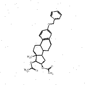 CC(=O)OC1[C@H](OC(C)=O)CC2C3CCc4cc(OCc5ccccc5)ccc4C3CCC21C